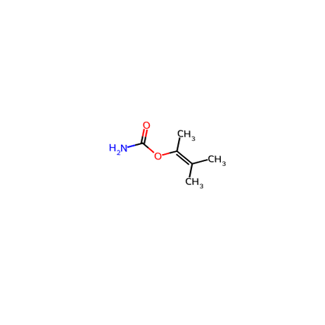 CC(C)=C(C)OC(N)=O